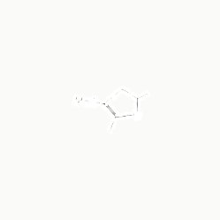 COC1=C(C)OC(C)C1